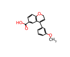 COc1cccc(C2=CCOc3ccc(C(=O)O)cc32)c1